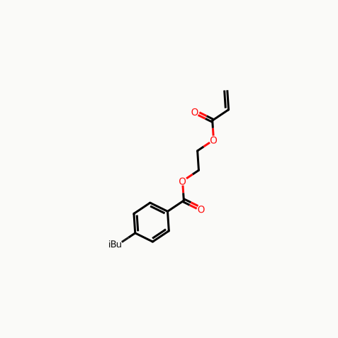 C=CC(=O)OCCOC(=O)c1ccc(C(C)CC)cc1